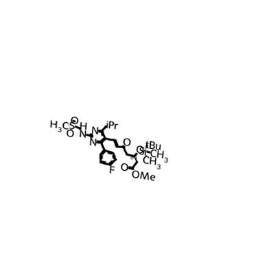 COC(=O)C[C@@H](CC(=O)C=Cc1c(-c2ccc(F)cc2)nc(NCS(C)(=O)=O)nc1C(C)C)O[Si](C)(C)C(C)(C)C